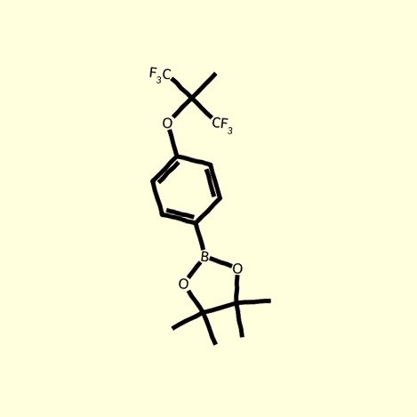 CC1(C)OB(c2ccc(OC(C)(C(F)(F)F)C(F)(F)F)cc2)OC1(C)C